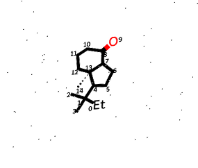 CCC(C)(C)C1CCC2C(=O)CCC[C@@]21C